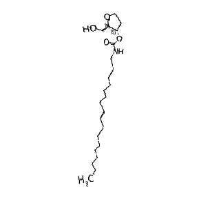 CCCCCCCCCCCCCCCCCNC(=O)O[C@H]1CCO[C@@H]1CO